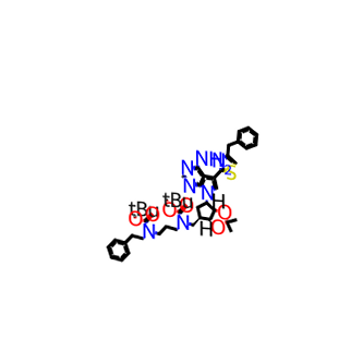 CC(C)(C)OC(=O)N(CCCN(C[C@H]1C[C@@H](n2cc(-c3nc(Cc4ccccc4)cs3)c3c(N)ncnc32)[C@@H]2OC(C)(C)O[C@H]12)C(=O)OC(C)(C)C)CCc1ccccc1